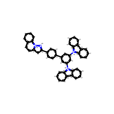 c1ccc2c(c1)ccc1cc(-c3ccc(-c4cc(-n5c6ccccc6c6ccccc65)cc(-n5c6ccccc6c6ccccc65)c4)cc3)nn12